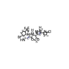 N=C/C=C(\Nc1cc(Br)ccc1C(F)(F)F)C1OC2COC2C(N(N)/C=C(\N)c2nc(Cl)cs2)C1O